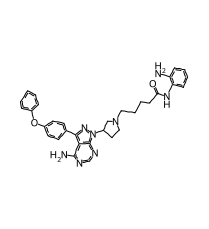 Nc1ccccc1NC(=O)CCCCN1CCC(n2nc(-c3ccc(Oc4ccccc4)cc3)c3c(N)ncnc32)C1